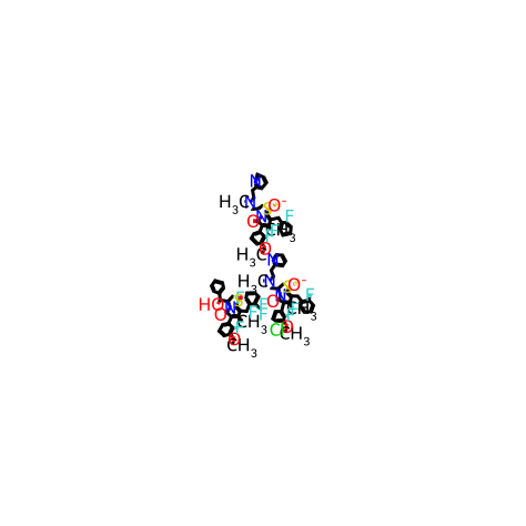 COc1c(Cl)ccc(-c2c(C)c(Cc3c(F)cccc3F)c3n(c2=O)C(CN(C)CCc2ccccn2)C[S+]3[O-])c1F.COc1cccc(-c2c(C)c(Cc3c(F)cccc3C(F)(F)F)c3n(c2=O)C(C(O)c2ccccc2)CS3)c1F.COc1cccc(-c2c(C)c(Cc3c(F)cccc3F)c3n(c2=O)C(CN(C)CCc2ccccn2)C[S+]3[O-])c1F